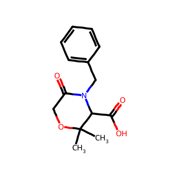 CC1(C)OCC(=O)N(Cc2ccccc2)C1C(=O)O